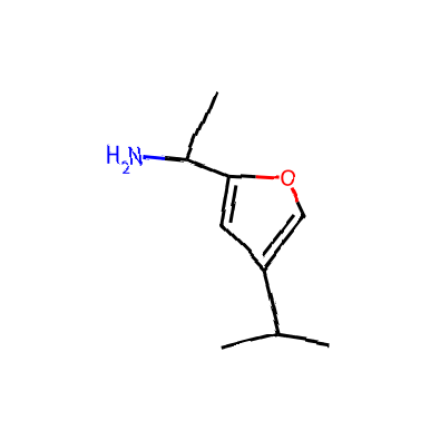 CC(C)c1coc(C(C)N)c1